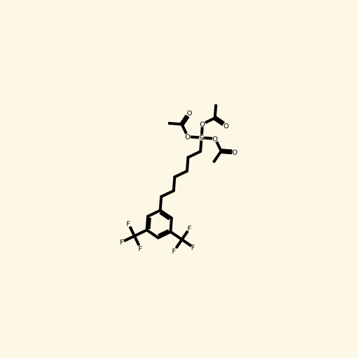 CC(=O)O[Si](CCCCCCc1cc(C(F)(F)F)cc(C(F)(F)F)c1)(OC(C)=O)OC(C)=O